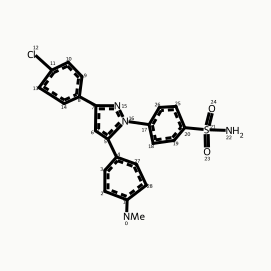 CNc1ccc(-c2cc(-c3ccc(Cl)cc3)nn2-c2ccc(S(N)(=O)=O)cc2)cc1